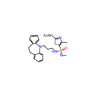 CN=S(=O)(NCCCN1c2ccccc2CCc2ccccc21)c1sc(NC(C)=O)nc1C